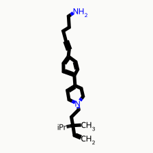 C=CC(C)(CCN1CC=C(c2ccc(C#CCCCN)cc2)CC1)C(C)C